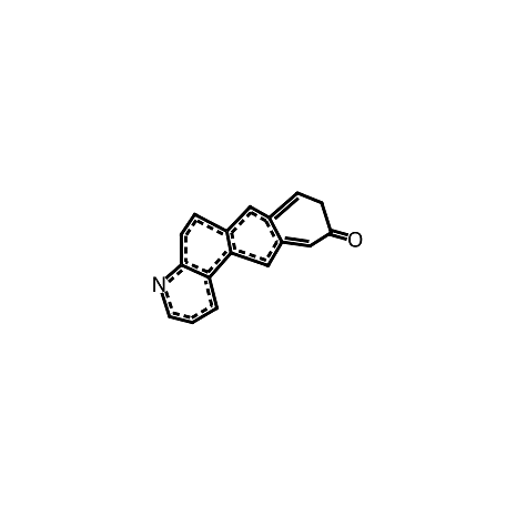 O=C1C=c2cc3c(ccc4ncccc43)cc2=CC1